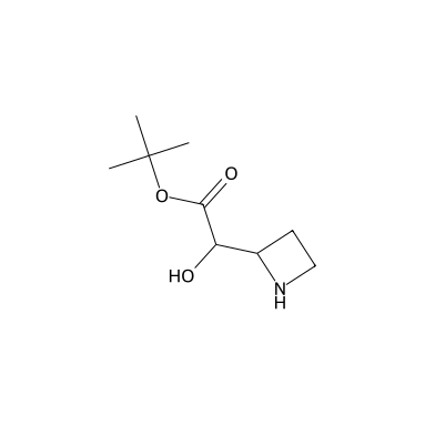 CC(C)(C)OC(=O)C(O)C1CCN1